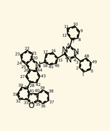 c1ccc(-c2nc(-c3ccccc3)nc(-c3ccc(-n4c5ccccc5c5cc(-c6cccc7oc8ccccc8c67)ccc54)cc3)n2)cc1